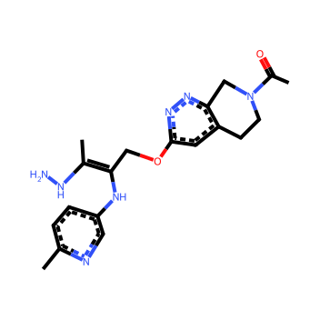 CC(=O)N1CCc2cc(OC/C(Nc3ccc(C)nc3)=C(\C)NN)nnc2C1